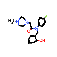 CN1CCN(CC(=O)N(Cc2ccccc2O)c2ccc(F)cc2)CC1